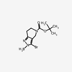 Bn1nc2c(c1Br)CN(C(=O)OC(C)(C)C)CC2